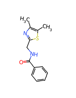 Cc1nc(CNC(=O)c2ccccc2)sc1C